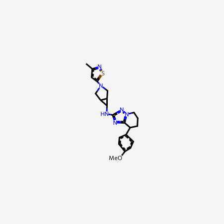 COc1ccc(C2CCCn3nc(NC4C5CN(c6cc(C)ns6)CC54)nc32)cc1